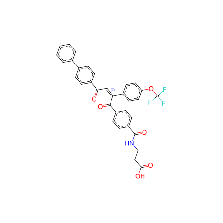 O=C(O)CCNC(=O)c1ccc(C(=O)/C(=C\C(=O)c2ccc(-c3ccccc3)cc2)c2ccc(OC(F)(F)F)cc2)cc1